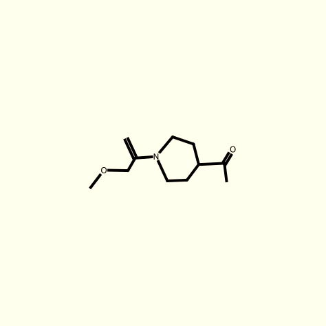 C=C(COC)N1CCC(C(C)=O)CC1